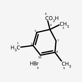 Br.CC1=CC(C)(C(=O)O)CC(C)=C1